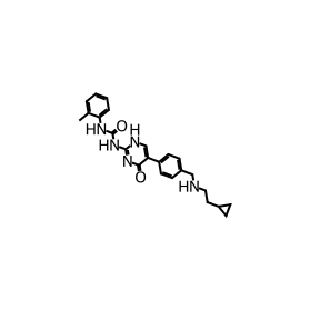 Cc1ccccc1NC(=O)Nc1nc(=O)c(-c2ccc(CNCCC3CC3)cc2)c[nH]1